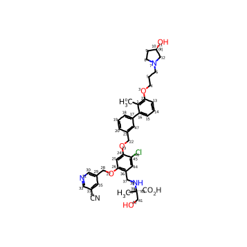 Cc1c(OCCCN2CC[C@@H](O)C2)cccc1-c1cccc(COc2cc(OCc3cncc(C#N)c3)c(CN[C@](C)(CO)C(=O)O)cc2Cl)c1